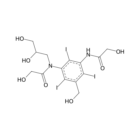 O=C(CO)Nc1c(I)c(CO)c(I)c(N(CC(O)CO)C(=O)CO)c1I